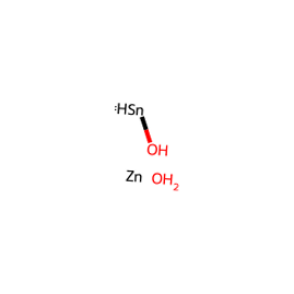 O.[OH][SnH].[Zn]